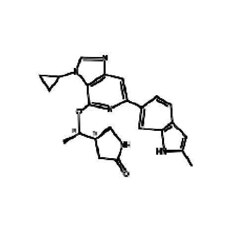 Cc1cc2ccc(-c3cc4ncn(C5CC5)c4c(O[C@H](C)[C@H]4CNC(=O)C4)n3)cc2[nH]1